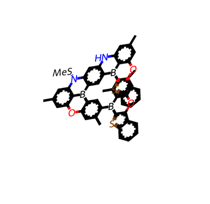 CSN1c2cc3c(cc2B2c4cc(B5c6sc7ccccc7c6Oc6cc(C)cc(C)c65)c(C)cc4Oc4cc(C)cc1c42)B1c2sc4ccccc4c2Oc2cc(C)cc(c21)N3